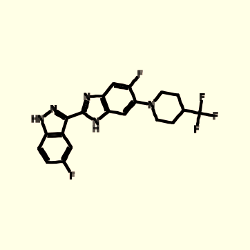 Fc1ccc2[nH]nc(-c3nc4cc(F)c(N5CCC(C(F)(F)F)CC5)cc4[nH]3)c2c1